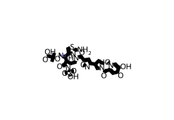 CC(C)(O/N=C(/c1csc(N)n1)C1C(=O)N(S(=O)(=O)O)C1CNC(=O)c1cc(C2CCN(C(=O)c3cc(=O)c(O)cn3O)C2)no1)C(=O)O